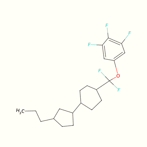 CCCC1CCC(C2CCC(C(F)(F)Oc3cc(F)c(F)c(F)c3)CC2)C1